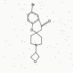 O=C1CC2(CCN(C3COC3)CC2)Oc2ccc(Br)cc21